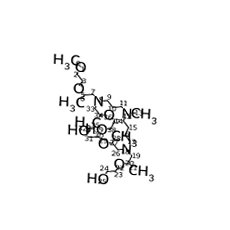 COCCOC(C)CN(CCCN(C)CCCCN(CC(C)OCCO)CC(C)OCCO)CC(C)OCCO